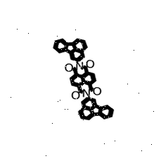 O=C1c2ccc3c4c(ccc(c24)C(=O)N1c1cc2c4c(cccc4c1)-c1ccccc1-2)C(=O)N(c1cc2c4c(cccc4c1)-c1ccccc1-2)C3=O